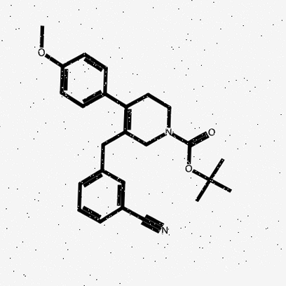 COc1ccc(C2=C(Cc3cccc(C#N)c3)CN(C(=O)OC(C)(C)C)CC2)cc1